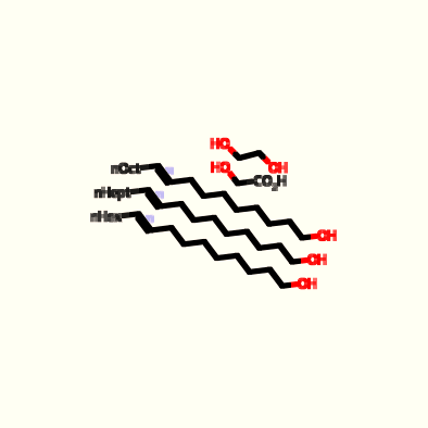 CCCCCC/C=C/CCCCCCCCO.CCCCCCC/C=C/CCCCCCCCO.CCCCCCCC/C=C/CCCCCCCCO.O=C(O)CO.OCCO